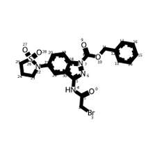 O=C(CBr)Nc1nn(C(=O)OCc2ccccc2)c2ccc(N3CCCS3(=O)=O)cc12